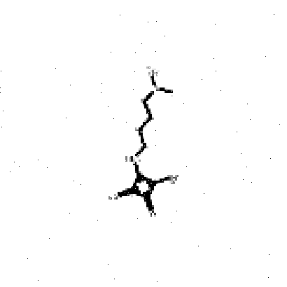 CCCN(C)CCCCNc1c(C(C)C)c(=O)c1=S